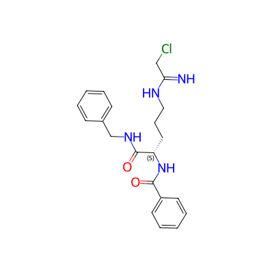 N=C(CCl)NCCC[C@H](NC(=O)c1ccccc1)C(=O)NCc1ccccc1